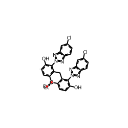 CCOc1c[c]c(O)c(-n2nc3ccc(Cl)cc3n2)c1Cc1c(OCC)c[c]c(O)c1-n1nc2ccc(Cl)cc2n1